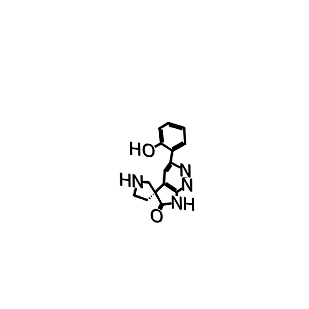 O=C1Nc2nnc(-c3ccccc3O)cc2[C@@]12CCNC2